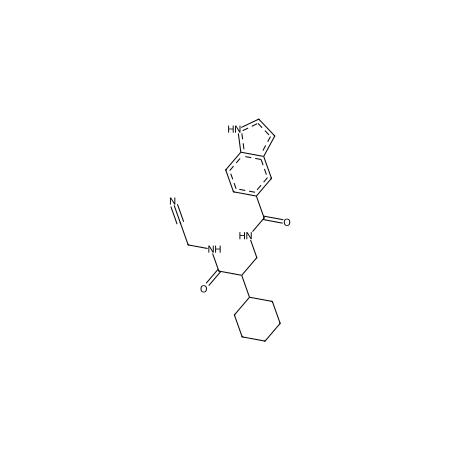 N#CCNC(=O)C(CNC(=O)c1ccc2[nH]ccc2c1)C1CCCCC1